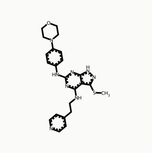 CSc1n[nH]c2nc(Nc3ccc(N4CCOCC4)cc3)nc(NCCc3ccncc3)c12